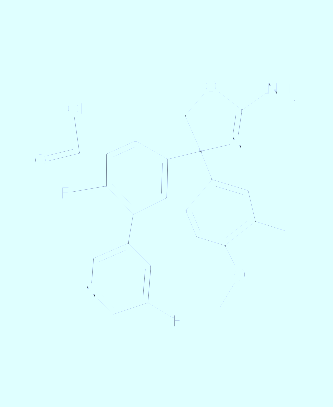 COc1ccc(C2(c3ccc(F)c(-c4cncc(F)c4)c3)COC(N)=N2)cc1C.O=CO